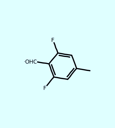 Cc1cc(F)c([C]=O)c(F)c1